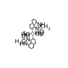 CC1(c2ccsc2)Nc2cccc3ccc(C4C(O)C(c5ccc6cccc7c6c5NC(C)(c5ccsc5)N7)C4O)c(c23)N1